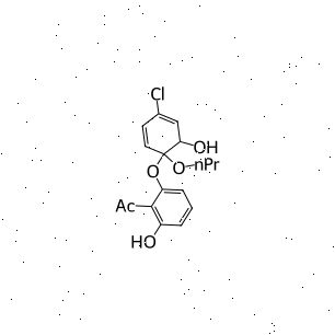 CCCOC1(Oc2cccc(O)c2C(C)=O)C=CC(Cl)=CC1O